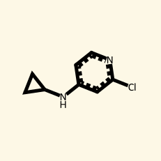 Clc1cc(NC2CC2)ccn1